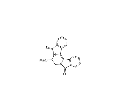 COC1CN2C(=O)c3ccccc3C2=C2c3ccccc3C(=S)N21